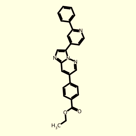 CCOC(=O)c1ccc(-c2cnn3c(-c4ccnc(-c5ccccc5)c4)cnc3c2)cc1